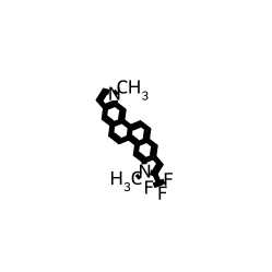 Cn1ccc2cc3ccc4c5cc6c(cc(C(F)(F)F)n6C)cc5ccc4c3cc21